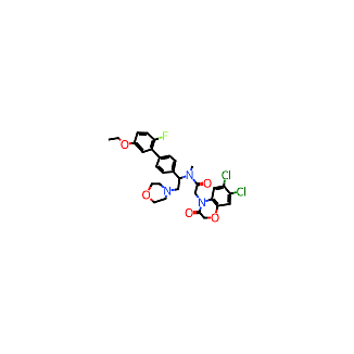 CCOc1ccc(F)c(-c2ccc(C(CN3CCOCC3)N(C)C(=O)CN3C(=O)COc4cc(Cl)c(Cl)cc43)cc2)c1